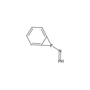 P=NP1c2ccccc21